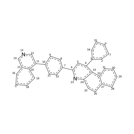 c1ccc(-c2cc(-c3ccc(-c4cncc5ccccc45)cc3)nc3ccc4ccccc4c23)cc1